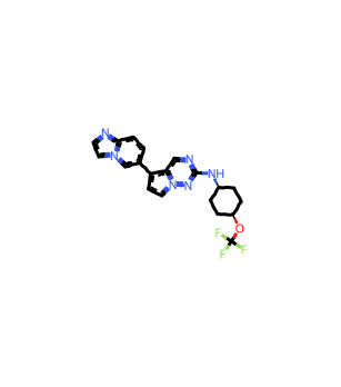 FC(F)(F)O[C@H]1CC[C@@H](Nc2ncc3c(-c4ccc5nccn5c4)ccn3n2)CC1